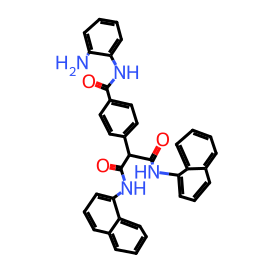 Nc1ccccc1NC(=O)c1ccc(C(C(=O)Nc2cccc3ccccc23)C(=O)Nc2cccc3ccccc23)cc1